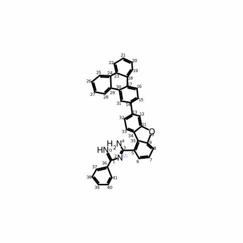 N=C(/N=C(\N)c1cccc2oc3cc(-c4ccc5c6ccccc6c6ccccc6c5c4)ccc3c12)c1ccccc1